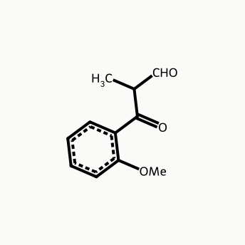 COc1ccccc1C(=O)C(C)C=O